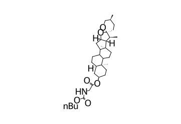 CCCCOC(=O)NCC(=O)O[C@@H]1CC[C@]2(C)C3CC[C@@]4(C)C(C[C@@H]5O[C@]6(CC[C@H](C)CO6)[C@@H](C)[C@@H]54)C3CC[C@@H]2C1